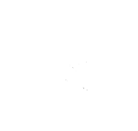 C#CCN1CC(=O)N2[C@@H](C(C)CC)C(=O)N(CC(c3ccccc3)c3ccccc3)C[C@@H]2N1C(=O)NCc1ccccc1